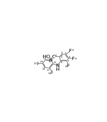 O=C(O)c1cc(F)c(F)c(F)c1Nc1ncc(I)cc1I